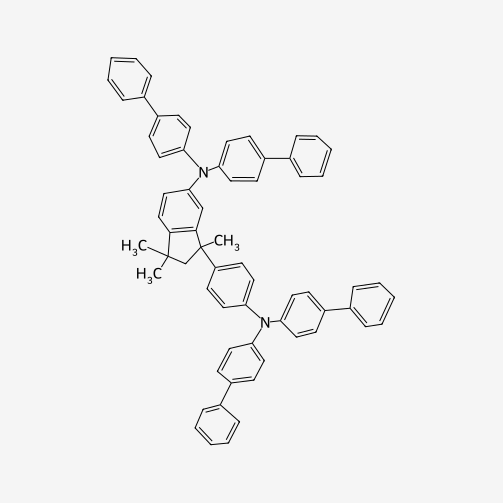 CC1(C)CC(C)(c2ccc(N(c3ccc(-c4ccccc4)cc3)c3ccc(-c4ccccc4)cc3)cc2)c2cc(N(c3ccc(-c4ccccc4)cc3)c3ccc(-c4ccccc4)cc3)ccc21